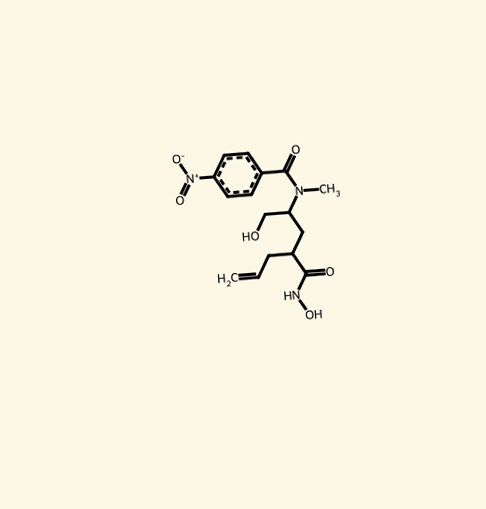 C=CCC(CC(CO)N(C)C(=O)c1ccc([N+](=O)[O-])cc1)C(=O)NO